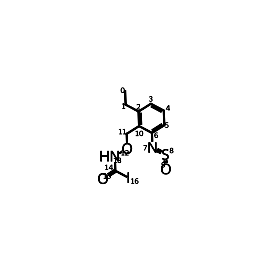 CCc1cccc(N=S=O)c1CONC(=O)I